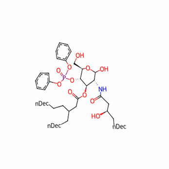 CCCCCCCCCCCCC(CCCCCCCCCCC)CC(=O)O[C@H]1[C@H](OP(=O)(Oc2ccccc2)Oc2ccccc2)[C@@H](CO)OC(O)[C@@H]1NC(=O)C[C@H](O)CCCCCCCCCCC